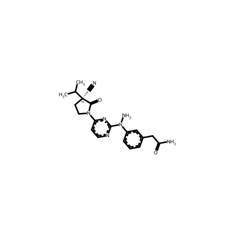 CC(C)[C@]1(C#N)CCN(c2ccnc(N(N)c3cccc(CC(N)=O)c3)n2)C1=O